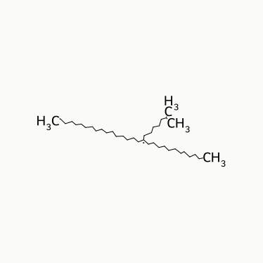 CCCCCCCCCCCCCCCCC[C](CCCCCCCCCCCC)CCCCCC(C)C